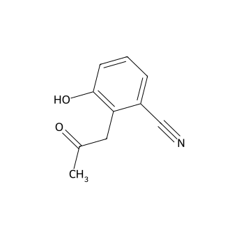 CC(=O)Cc1c(O)cccc1C#N